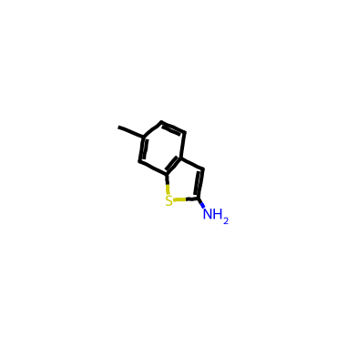 Cc1ccc2cc(N)sc2c1